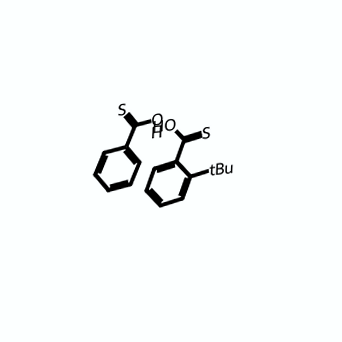 CC(C)(C)c1ccccc1C(O)=S.OC(=S)c1ccccc1